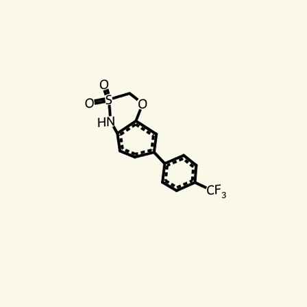 O=S1(=O)COc2cc(-c3ccc(C(F)(F)F)cc3)ccc2N1